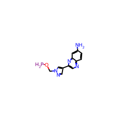 Nc1ccc2ncc(-c3cnn(COP)c3)nc2c1